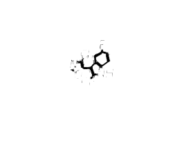 Fc1ccc2[nH]c(Cl)c(-c3ocnc3Cl)c2c1